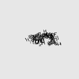 Cc1c(C(=O)O)c(-c2cccc(N3CCN(c4ccc(NS(=O)(=O)c5ccc(NC(CCO)CSc6ccccc6)c(S(=O)(=O)C(F)(F)F)c5)cc4)CC3)c2)c(-c2ccc(Cl)cc2)n1C(C)C